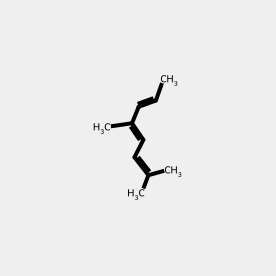 CC=CC(C)=CC=C(C)C